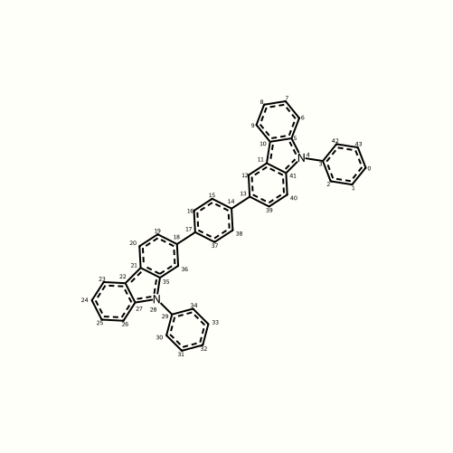 c1ccc(-n2c3ccccc3c3cc(-c4ccc(-c5ccc6c7ccccc7n(-c7ccccc7)c6c5)cc4)ccc32)cc1